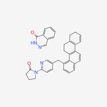 O=C1CCCN1c1ccc(Cc2cccc3ccc4c(c23)CCC2=C4C=CCC2)cn1.O=c1[nH]ncc2ccccc12